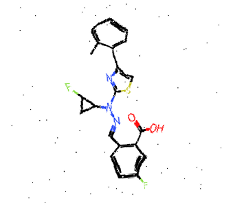 Cc1ccccc1-c1csc(N(/N=C/c2ccc(F)cc2C(=O)O)C2CC2F)n1